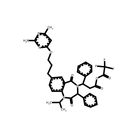 Cc1cc(OCCCc2ccc3c(c2)C(=O)N(C(CC(=O)OC(=O)C(F)(F)F)c2ccccc2)C(c2ccccc2)C(=O)N3C(C)C)nc(N)n1